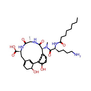 CCCCCCCC(=O)N[C@@H](CCCCN)C(=O)N(C)[C@@H]1C(=O)N[C@@H](C)C(=O)N[C@H](C(=O)O)CC2=CCC(O)C(=C2)c2cc1ccc2O